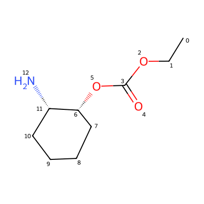 CCOC(=O)O[C@@H]1CCCC[C@@H]1N